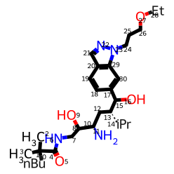 CCCCC(C)(C)C(=O)NCC(O)[C@@H](N)C[C@@H](C(C)C)C(O)c1ccc2cnn(CCCOCC)c2c1